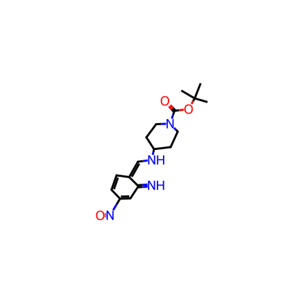 CC(C)(C)OC(=O)N1CCC(N/C=C2/C=CC(N=O)=CC2=N)CC1